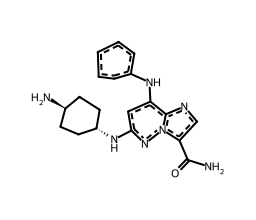 NC(=O)c1cnc2c(Nc3ccccc3)cc(N[C@H]3CC[C@H](N)CC3)nn12